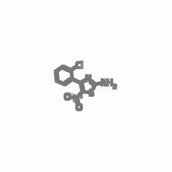 Nc1nc(-c2ccccc2Cl)c([N+](=O)[O-])s1